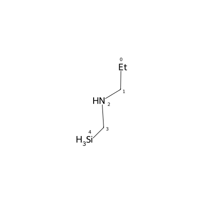 CCCNC[SiH3]